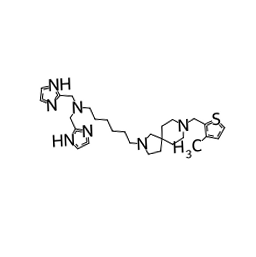 Cc1ccsc1CN1CCC2(CC1)CCN(CCCCCCN(Cc1ncc[nH]1)Cc1ncc[nH]1)C2